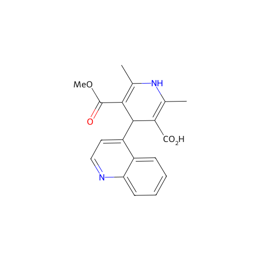 COC(=O)C1=C(C)NC(C)=C(C(=O)O)C1c1ccnc2ccccc12